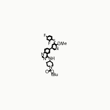 COc1ncc(-c2ccc3ncnc(NC4CCN(C(=O)OC(C)(C)C)CC4)c3c2)cc1Sc1ccc(F)cc1F